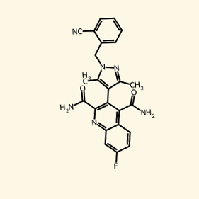 Cc1nn(Cc2ccccc2C#N)c(C)c1-c1c(C(N)=O)nc2cc(F)ccc2c1C(N)=O